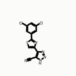 N#Cc1[nH]nnc1-c1csc(-c2cc(Cl)cc(Cl)c2)n1